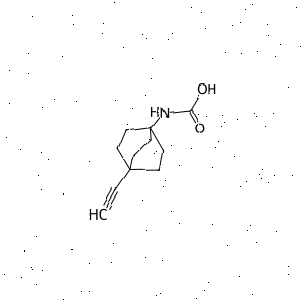 C#CC12CCC(NC(=O)O)(CC1)CC2